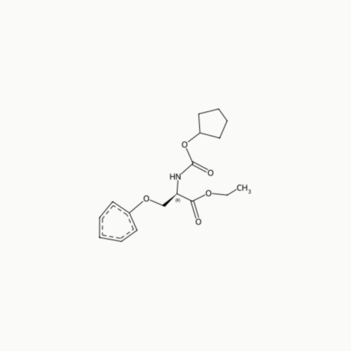 CCOC(=O)[C@@H](COc1ccccc1)NC(=O)OC1CCCC1